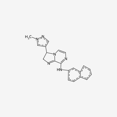 Cn1cc(C2CN=C3C(Nc4ccc5ccccc5c4)=NC=CN32)cn1